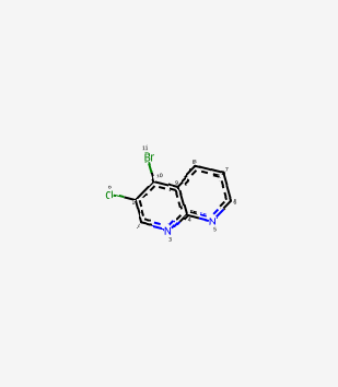 Clc1cnc2ncccc2c1Br